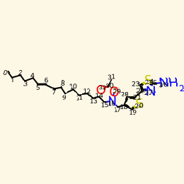 CCCCCCCCCCCCCCCCN(Cc1csc(-c2csc(N)n2)c1)OC(C)=O